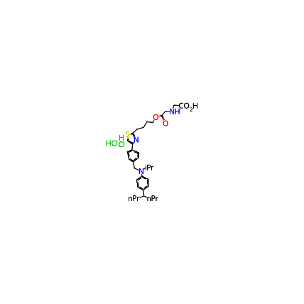 CCCC(CCC)c1ccc(N(Cc2ccc(-c3csc(CCCCOC(=O)CNCC(=O)O)n3)cc2)C(C)C)cc1.Cl.Cl